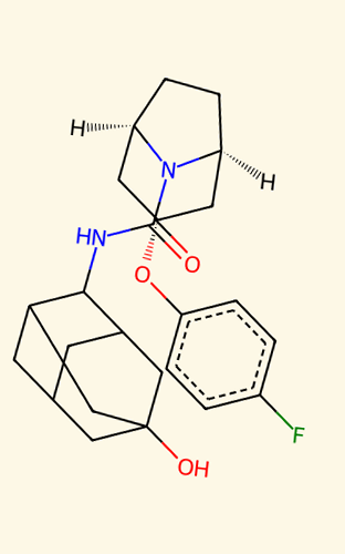 O=C(NC1C2CC3CC1CC(O)(C3)C2)N1[C@@H]2CC[C@H]1C[C@H](Oc1ccc(F)cc1)C2